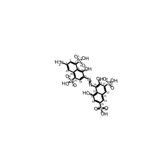 Nc1cc(S(=O)(=O)O)c2c(O)c(N=Nc3c(O)c(S(=O)(=O)O)cc4cc(S(=O)(=O)O)cc(O)c34)cc(S(=O)(=O)O)c2c1